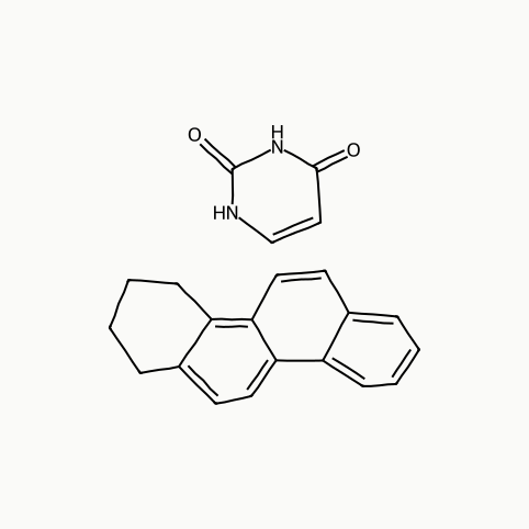 O=c1cc[nH]c(=O)[nH]1.c1ccc2c(c1)ccc1c3c(ccc12)CCCC3